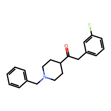 O=C(Cc1cccc(F)c1)C1CCN(Cc2ccccc2)CC1